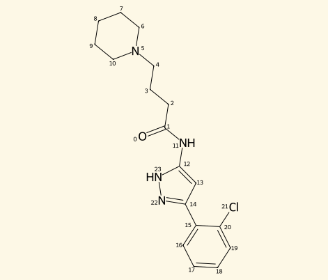 O=C(CCCN1CCCCC1)Nc1cc(-c2ccccc2Cl)n[nH]1